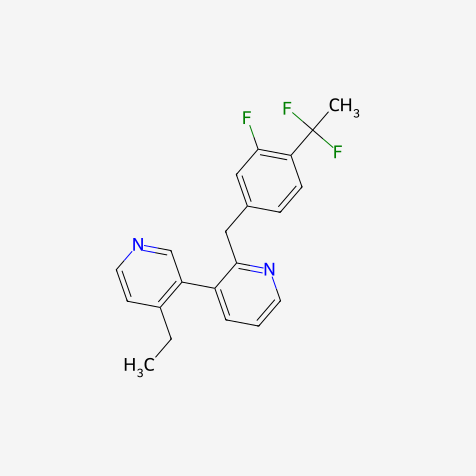 CCc1ccncc1-c1cccnc1Cc1ccc(C(C)(F)F)c(F)c1